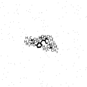 COC(=C(CO[Si](C)(C)C(C)(C)C)C(C)(C)C)c1cccc(O[Si](C)(C)C(C)(C)C)c1